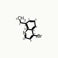 CCc1cccc2c(Br)ccnc12